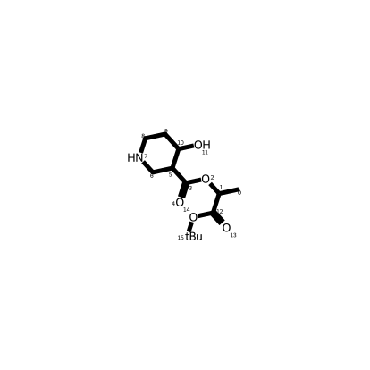 CC(OC(=O)C1CNCCC1O)C(=O)OC(C)(C)C